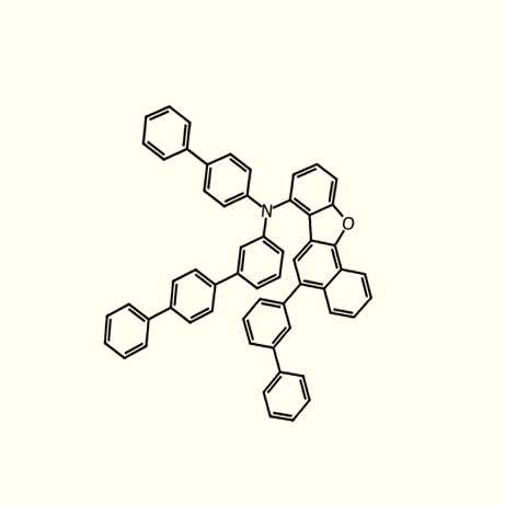 c1ccc(-c2ccc(-c3cccc(N(c4ccc(-c5ccccc5)cc4)c4cccc5oc6c7ccccc7c(-c7cccc(-c8ccccc8)c7)cc6c45)c3)cc2)cc1